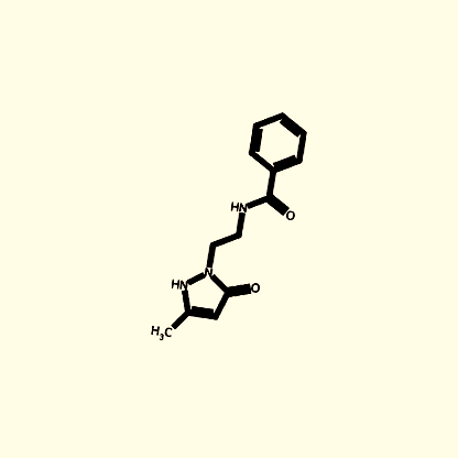 Cc1cc(=O)n(CCNC(=O)c2ccccc2)[nH]1